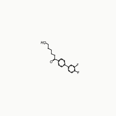 O=C(CCCCCO)c1ccc(-c2ccc(F)c(F)c2)cc1